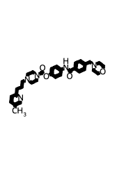 Cc1ccc(CCCN2CCN(C(=O)Oc3ccc(NC(=O)c4ccc(CN5CCOCC5)cc4)cc3)CC2)nc1